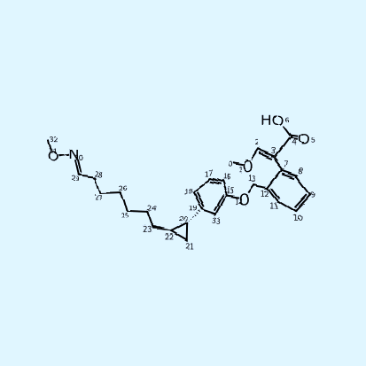 CO/C=C(/C(=O)O)c1ccccc1COc1cccc([C@@H]2C[C@H]2CCCCCCC=NOC)c1